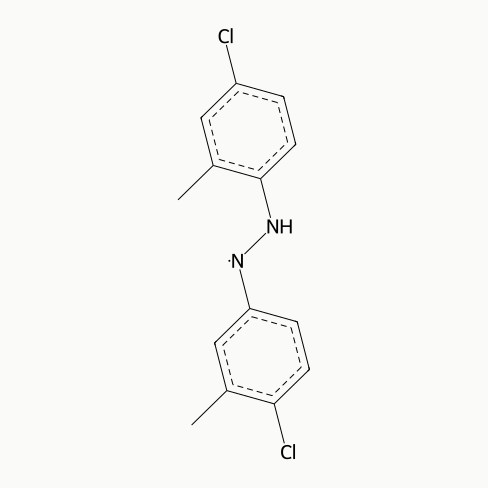 Cc1cc([N]Nc2ccc(Cl)cc2C)ccc1Cl